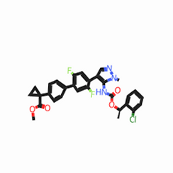 COC(=O)C1(c2ccc(-c3cc(F)c(-c4cnn(C)c4NC(=O)O[C@H](C)c4ccccc4Cl)cc3F)cc2)CC1